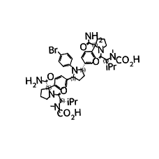 CC(C)[C@@H](C(=O)N1CCC[C@@]1(C(N)=O)c1ccc([C@@H]2CC[C@@H](c3ccc([C@]4(C(N)=O)CCCN4C(=O)[C@H](C(C)C)N(C)C(=O)O)cc3)N2c2ccc(Br)cc2)cc1)N(C)C(=O)O